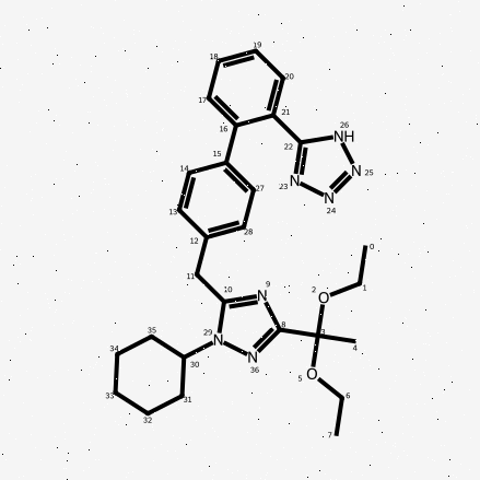 CCOC(C)(OCC)c1nc(Cc2ccc(-c3ccccc3-c3nnn[nH]3)cc2)n(C2CCCCC2)n1